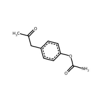 CC(=O)Cc1ccc(OC(N)=O)cc1